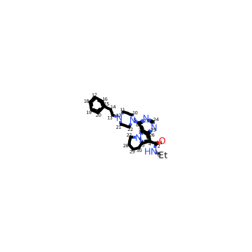 CCNC(=O)c1c2n(c3c(N4CCN(CCc5ccccc5)CC4)ncnc13)CCCC2